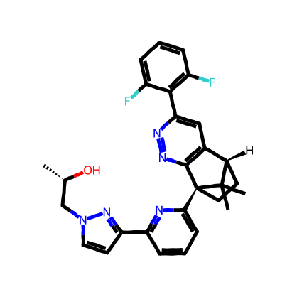 C[C@H](O)Cn1ccc(-c2cccc([C@@]34CC[C@@H](c5cc(-c6c(F)cccc6F)nnc53)C4(C)C)n2)n1